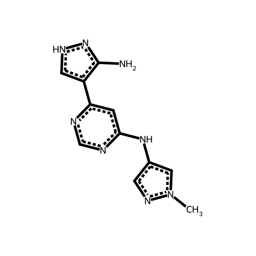 Cn1cc(Nc2cc(-c3c[nH]nc3N)ncn2)cn1